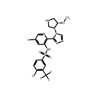 CO[C@@H]1CNC[C@@H]1n1cnnc1-c1ncc(Cl)cc1NS(=O)(=O)c1ccc(Cl)c(C(F)(F)F)c1